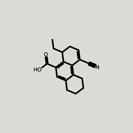 CCC1CC=C(C#N)c2c3c(cc(C(=O)O)c21)CCCC3